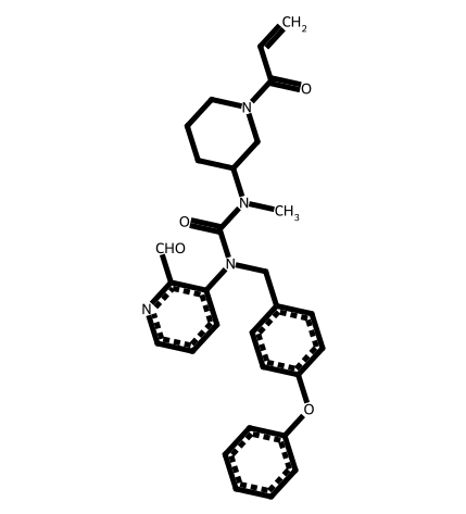 C=CC(=O)N1CCCC(N(C)C(=O)N(Cc2ccc(Oc3ccccc3)cc2)c2cccnc2C=O)C1